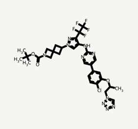 CC(Cn1cnnn1)Oc1cc(-c2cnc(Nc3cn(C4CC5(C4)CN(C(=O)OC(C)(C)C)C5)nc3C(F)(F)C(F)(F)F)nc2)ccc1Cl